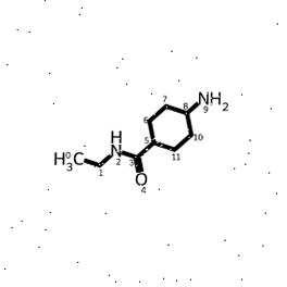 CCNC(=O)C1CCC(N)CC1